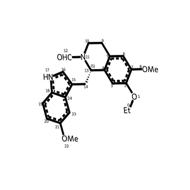 CCOc1cc2c(cc1OC)CCN(C=O)[C@H]2Cc1c[nH]c2ccc(OC)cc12